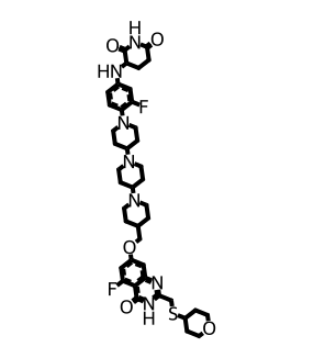 O=C1CCC(Nc2ccc(N3CCC(N4CCC(N5CCC(COc6cc(F)c7c(=O)[nH]c(CSC8CCOCC8)nc7c6)CC5)CC4)CC3)c(F)c2)C(=O)N1